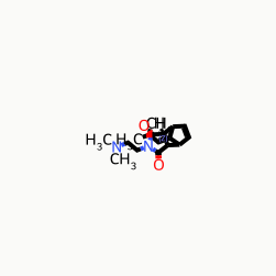 CC(C)/C=C1/C2C=CC1[C@H]1C(=O)N(CCN(C)C)C(=O)C21